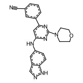 N#Cc1cccc(-c2cc(Nc3ccc4[nH]ncc4c3)nc(N3CCOCC3)n2)c1